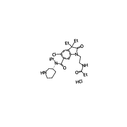 CCC(=O)NCCN1C(=O)C(CC)(CC)c2cc(Cl)c(C(=O)N(C(C)C)[C@@H]3CCCNC3)cc21.Cl